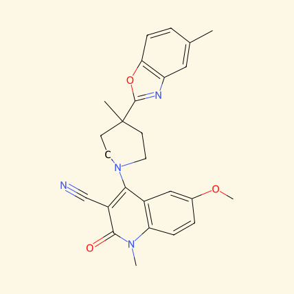 COc1ccc2c(c1)c(N1CCC(C)(c3nc4cc(C)ccc4o3)CC1)c(C#N)c(=O)n2C